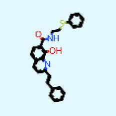 O=C(NCCSc1ccccc1)c1ccc2ccc(C=Cc3ccccc3)nc2c1O